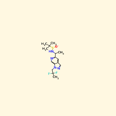 CC(N[S@+]([O-])C(C)(C)C)c1cc2cnn(CC(C)(F)F)c2cn1